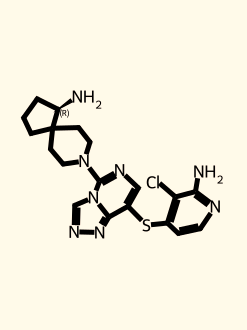 Nc1nccc(Sc2cnc(N3CCC4(CCC[C@H]4N)CC3)n3cnnc23)c1Cl